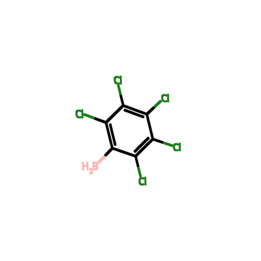 Bc1c(Cl)c(Cl)c(Cl)c(Cl)c1Cl